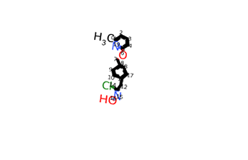 Cc1cccc(OCc2ccc(C/C(Cl)=N/O)cc2)n1